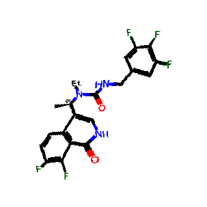 CCN(C(=O)NCc1cc(F)c(F)c(F)c1)[C@H](C)c1c[nH]c(=O)c2c(F)c(F)ccc12